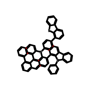 c1ccc(-c2cccc3cccc(-c4ccccc4N(c4ccc(-c5cccc6c5sc5ccccc56)cc4)c4ccccc4-c4cccc5c6ccccc6n(-c6ccccc6)c45)c23)cc1